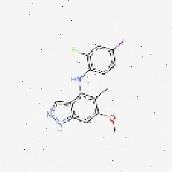 COc1cc2[nH]ncc2c(Nc2ccc(I)cc2F)c1C